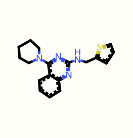 c1csc(CNc2nc(N3CCCCC3)c3ccccc3n2)c1